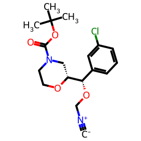 [C-]#[N+]CO[C@@H](c1cccc(Cl)c1)[C@H]1CN(C(=O)OC(C)(C)C)CCO1